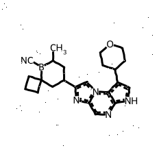 CC1CC(c2cn3c(cnc4[nH]cc(C5CCOCC5)c43)n2)CC2(CCC2)B1C#N